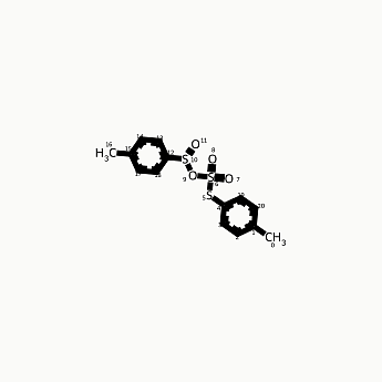 Cc1ccc(SS(=O)(=O)OS(=O)c2ccc(C)cc2)cc1